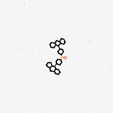 O=[P](c1ccc(-c2c3ccccc3cc3ccccc23)cc1)c1ccc(-c2c3ccccc3cc3ccccc23)cc1